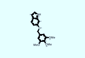 COc1cc(COc2ccc3[c]c[nH]c3c2)cc(OC)c1OC